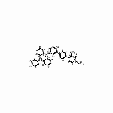 Cc1ccc(-c2ccc(-c3ccnc(N4c5ccccc5N(c5ccccc5)c5ccccc54)c3)cc2)c(C)n1